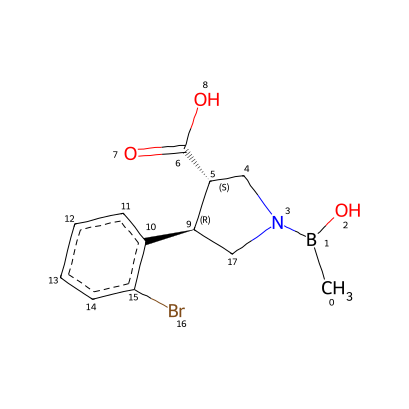 CB(O)N1C[C@@H](C(=O)O)[C@H](c2ccccc2Br)C1